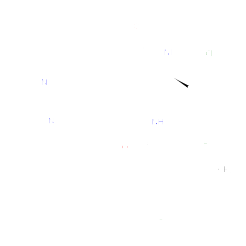 Cc1ncc(-c2cc(NC(=O)c3cc(F)cc(C(F)(F)F)c3)c3c(c2)C(=O)N[C@H]3c2cc(F)ccc2Cl)cn1